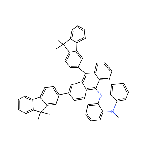 CN1c2ccccc2N(c2c3ccccc3c(-c3ccc4c(c3)-c3ccccc3C4(C)C)c3cc(-c4ccc5c(c4)C(C)(C)c4ccccc4-5)ccc23)c2ccccc21